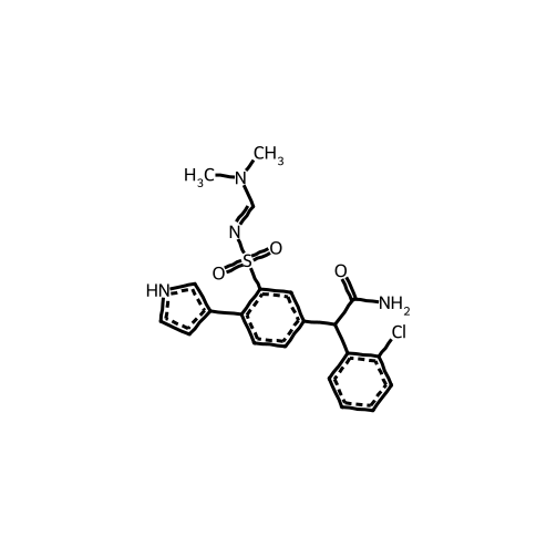 CN(C)C=NS(=O)(=O)c1cc(C(C(N)=O)c2ccccc2Cl)ccc1-c1cc[nH]c1